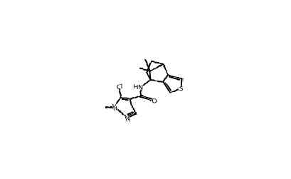 Cn1ncc(C(=O)NC23CCC(c4cscc42)C3(C)C)c1Cl